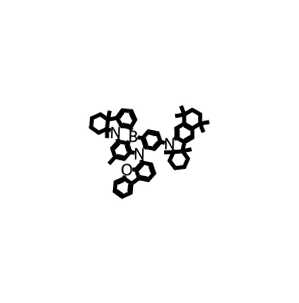 Cc1cc2c3c(c1)N1c4c(cccc4C4(C)CCCCC14C)B3c1ccc(N3c4cc5c(cc4C4(C)CCCCC34C)C(C)(C)CCC5(C)C)cc1N2c1cccc2c1oc1ccccc12